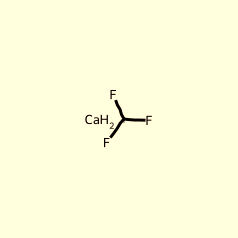 F[C](F)F.[CaH2]